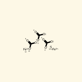 O=C([O-])[O-].O=C([O-])[O-].O=C([O-])[O-].[Fe+3].[Fe+3].[S]